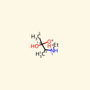 CCNC(C)C(C)(O)O